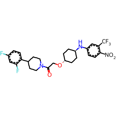 O=C(CO[C@H]1CC[C@H](Nc2ccc([N+](=O)[O-])c(C(F)(F)F)c2)CC1)N1CCC(c2ccc(F)cc2F)CC1